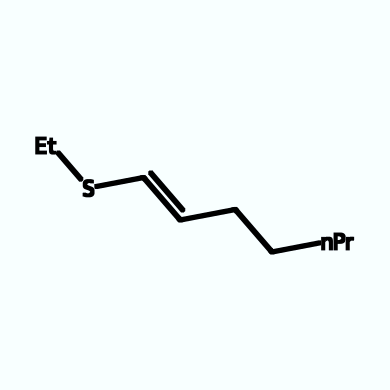 CCCCCC=CSCC